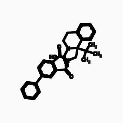 CC(C)(C)C1(CN2C(=O)c3ccc(-c4ccccc4)cc3C2=O)c2ccccc2CCN1C(=O)O